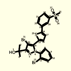 CC(C)(O)c1nn(-c2ccccc2Br)c(-c2ccc(-c3cccc(S(C)(=O)=O)c3)s2)c1Br